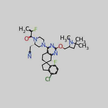 C=C(F)C(=O)N1CCN(c2nc(OCC3CC(C)(C)N3C)nc3c2CC[C@@]2(CCc4c(Cl)cccc42)[C@H]3F)C[C@@H]1CC#N